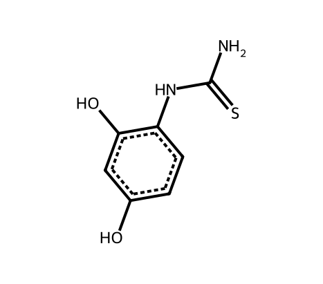 NC(=S)Nc1ccc(O)cc1O